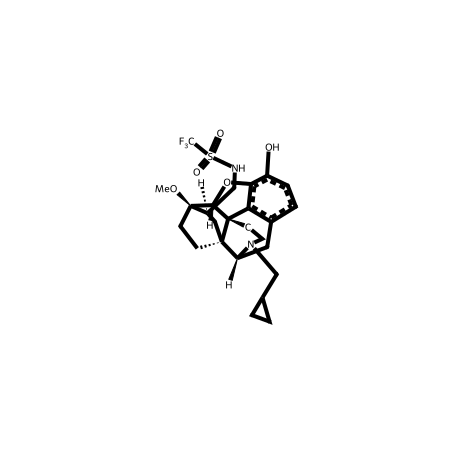 CO[C@]12CC[C@@]3(C[C@@H]1CNS(=O)(=O)C(F)(F)F)[C@H]1Cc4ccc(O)c5c4[C@@]3(CCN1CC1CC1)[C@H]2O5